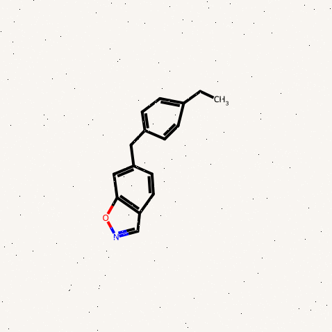 CCc1ccc(Cc2ccc3cnoc3c2)cc1